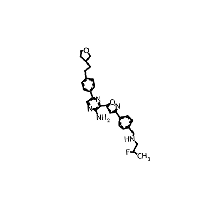 CC(F)CNCc1ccc(-c2cc(-c3nc(-c4ccc(CCC5CCOC5)cc4)cnc3N)on2)cc1